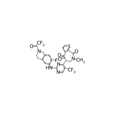 CN1CC(c2nc(Nc3cc4c(cc3F)CN(C(=O)C(F)(F)F)CC4)ncc2C(F)(F)F)S(=O)(=O)c2ccsc2C1=O